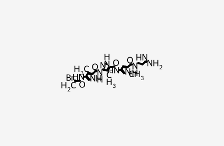 C=C(Br)C(=O)Nc1c[nH]c(C(=O)Nc2n[nH]c(C(=O)Nc3cc(C(=O)NCCC(=N)N)n(C)c3)c2C)c1C